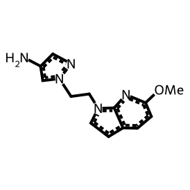 COc1ccc2ccn(CCn3cc(N)cn3)c2n1